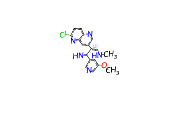 CN/C=C(\C(=N)c1cncc(OC)c1)c1cnc2ccc(Cl)nc2c1